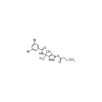 CCCC(=O)Sn1cc(C(C)(C)NC(=O)c2cc(Br)cc(Br)c2)nn1